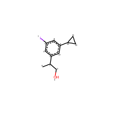 C[C](CO)c1cc(I)cc(C2CC2)c1